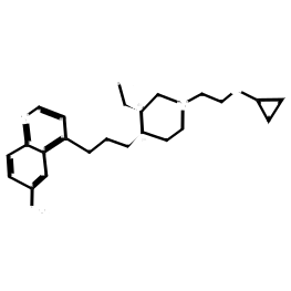 COc1ccc2nccc(CCC[C@@H]3CCN(CCSC4CC4)C[C@@H]3CC(=O)O)c2c1